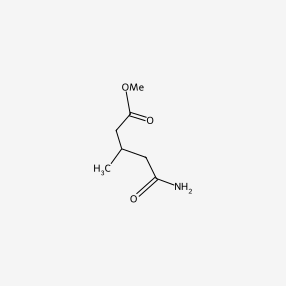 COC(=O)CC(C)CC(N)=O